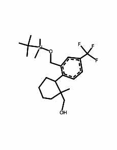 CC1(CO)CCCCC1c1ccc(C(F)(F)F)cc1CO[Si](C)(C)C(C)(C)C